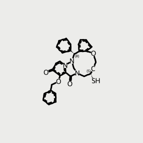 O=C1c2c(OCc3ccccc3)c(=O)ccn2N2CN1C[C@@H](S)CCOc1ccccc1[C@H]2c1ccccc1